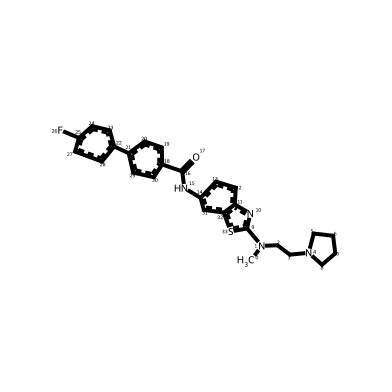 CN(CCN1CCCC1)c1nc2ccc(NC(=O)c3ccc(-c4ccc(F)cc4)cc3)cc2s1